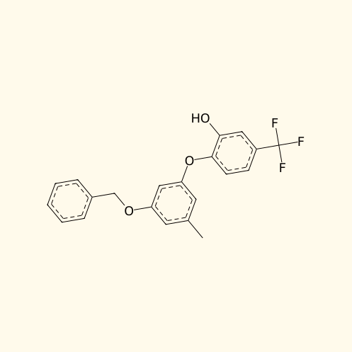 Cc1cc(OCc2ccccc2)cc(Oc2ccc(C(F)(F)F)cc2O)c1